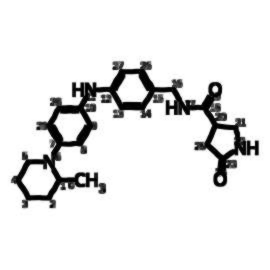 CC1CCCCN1c1ccc(Nc2ccc(CNC(=O)C3CNC(=O)C3)cc2)cc1